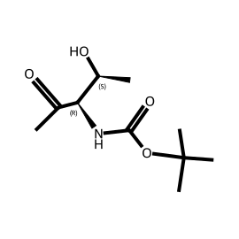 CC(=O)[C@H](NC(=O)OC(C)(C)C)[C@H](C)O